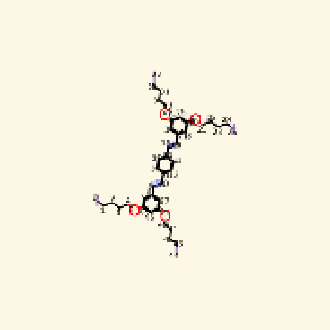 ICCCCOc1cc(/C=C/c2ccc(/C=C/c3cc(OCCCCI)cc(OCCCCI)c3)cc2)cc(OCCCCI)c1